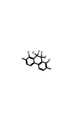 Cc1ccc2c(c1F)C(F)(F)C(F)(F)c1c-2ccc(C)c1F